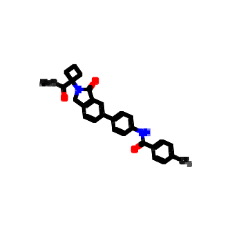 COC(=O)C1(N2Cc3ccc(-c4ccc(NC(=O)c5ccc(C(F)(F)F)cc5)cc4)cc3C2=O)CCC1